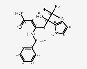 C[C@@H](N/C(=C\C(=O)O)CC(O)(c1cccs1)C(F)(F)F)c1ccccc1